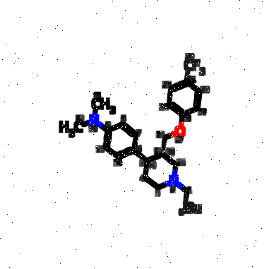 CCC(C)CN1CC[C@@H](c2ccc(N(C)C)cc2)[C@H](COc2ccc(C(F)(F)F)cc2)C1